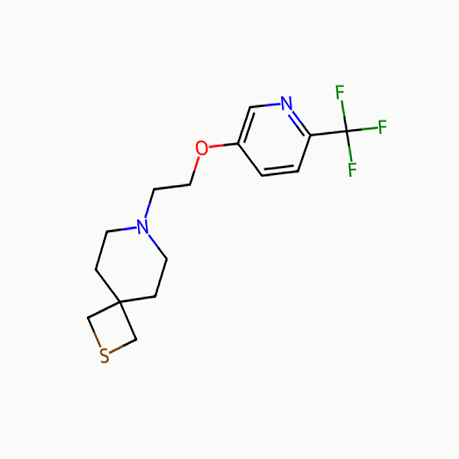 FC(F)(F)c1ccc(OCCN2CCC3(CC2)CSC3)cn1